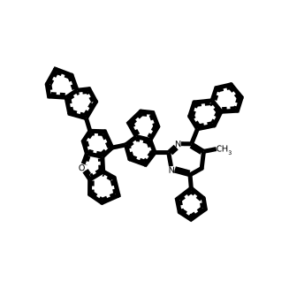 CC1=C(c2ccc3ccccc3c2)N=C(c2ccc(-c3cc(-c4ccc5ccccc5c4)cc4oc5ccccc5c34)c3ccccc23)N=C(c2ccccc2)C1